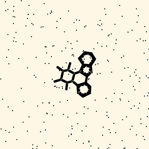 CB1N(C)B(C)N2B(N1C)n1c(nc3ccccc31)-c1cccnc12